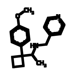 COc1ccc(C2(C(C)NCc3ccncc3)CCC2)cc1